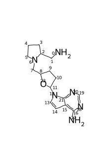 NCC1CCCN1CC1CCC(n2ccc3c(N)ncnc32)O1